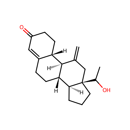 C=C1C[C@]2(C(C)O)CCC[C@H]2[C@@H]2CCC3=CC(=O)CC[C@@H]3[C@@H]12